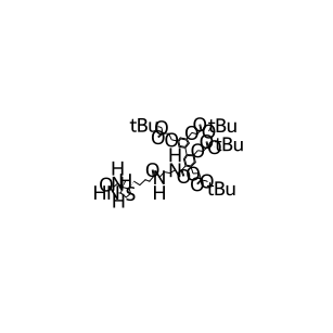 CC(C)(C)OC(=O)COc1cc(OCC(=O)OC(C)(C)C)cc(-c2cc(C(=O)NCCNC(=O)CCCC[C@@H]3SC[C@@H]4NC(=O)N[C@@H]43)c(OCC(=O)OC(C)(C)C)cc2OCC(=O)OC(C)(C)C)c1